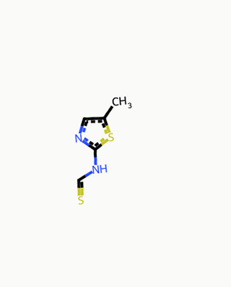 Cc1cnc(NC=S)s1